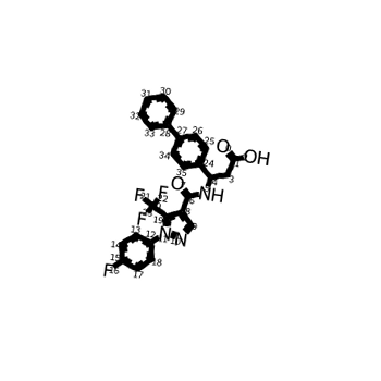 O=C(O)CC(NC(=O)c1cnn(-c2ccc(F)cc2)c1C(F)(F)F)c1ccc(-c2ccccc2)cc1